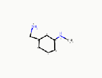 CNC1CCCC(CN)C1